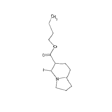 CCCCOC(=O)C1CCC2CCCN2C1I